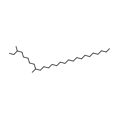 CCCCCCCCCCCCCCCCCCC(C)CCCCCC(C)CC